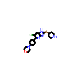 Clc1cc2[nH]c(SC3CCNCC3)nc2nc1-c1ccc(N2CCOCC2)cc1